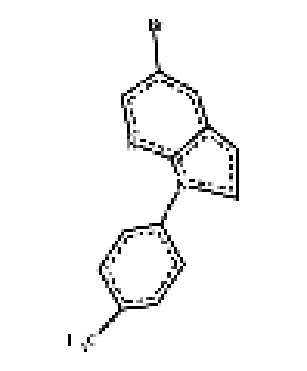 Cc1ccc(-n2ccc3cc(Br)cnc32)cc1